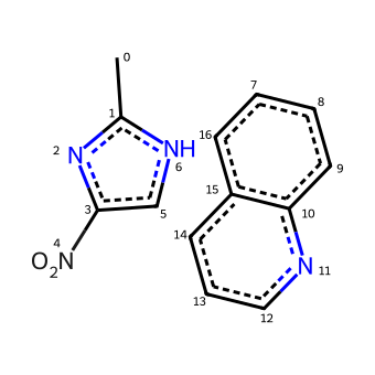 Cc1nc([N+](=O)[O-])c[nH]1.c1ccc2ncccc2c1